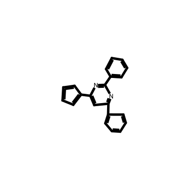 C1=CC=C(c2cc(-c3ccccc3)nc(-c3ccccc3)n2)C=1